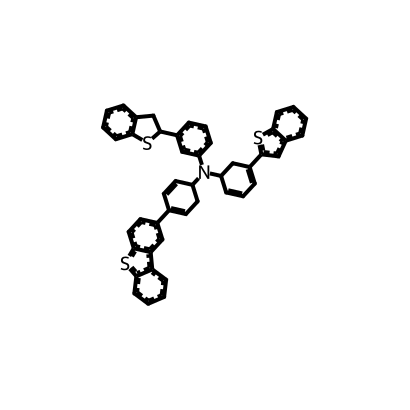 C1=CC(N(c2cccc(C3Cc4ccccc4S3)c2)C2C=CC(c3ccc4sc5ccccc5c4c3)=CC2)CC(c2cc3ccccc3s2)=C1